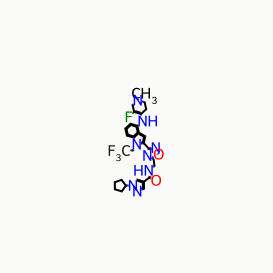 CN1CCC(Nc2cccc3c2cc(-c2noc(CNC(=O)c4cnn(C5CCCC5)c4)n2)n3CC(F)(F)F)=C(F)C1